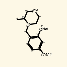 COc1ccc(CN2CCPCC2C)c(OC)c1